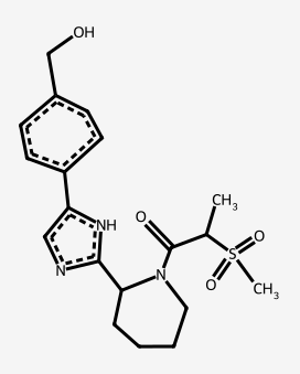 CC(C(=O)N1CCCCC1c1ncc(-c2ccc(CO)cc2)[nH]1)S(C)(=O)=O